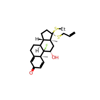 C=CCS[C@@]1(SCC)CC[C@H]2[C@@H]3CCC4=CC(=O)C=C[C@]4(C)[C@@]3(F)[C@@H](O)C[C@@]21C